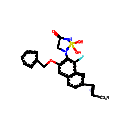 O=C(O)/C=C/c1ccc2cc(OCc3ccccc3)c(N3CC(=O)NS3(O)O)c(F)c2c1